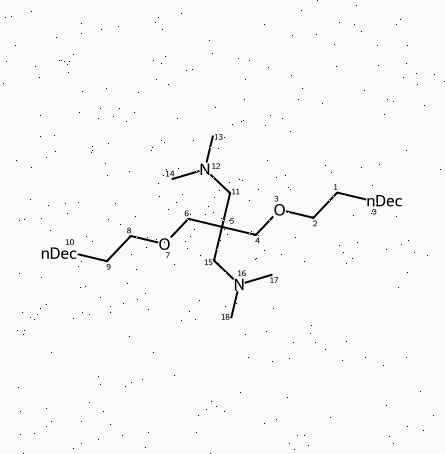 CCCCCCCCCCCCOCC(COCCCCCCCCCCCC)(CN(C)C)CN(C)C